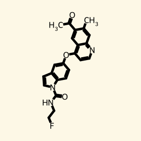 CC(=O)c1cc2c(Oc3ccc4c(ccn4C(=O)NCCF)c3)ccnc2cc1C